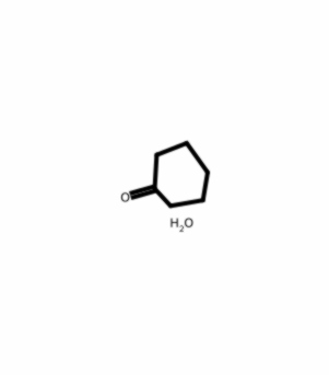 O.O=C1CCCCC1